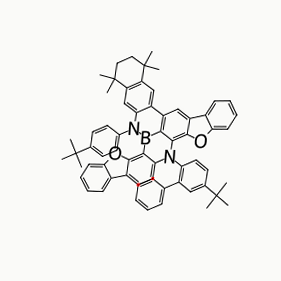 CC(C)(C)c1ccc(N2B3c4c(cc5c(oc6ccccc65)c4N(c4ccc(C(C)(C)C)cc4-c4ccccc4)c4ccc5c(oc6ccccc65)c43)-c3cc4c(cc32)C(C)(C)CCC4(C)C)cc1